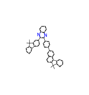 CC1(C)c2ccccc2-c2ccc(-c3nc4ccccc4nc3-c3ccc(-c4ccc5c6c(ccc5c4)C(C)(C)c4ccccc4-6)cc3)cc21